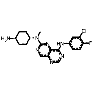 CN(c1ncc2ncnc(Nc3ccc(F)c(Cl)c3)c2n1)[C@H]1CC[C@H](N)CC1